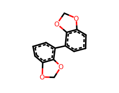 c1cc2c(c(-c3cccc4c3OCO4)c1)OCO2